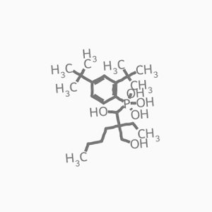 CCCCC(CC)(CO)C(O)P(O)(O)(O)c1ccc(C(C)(C)C)cc1C(C)(C)C